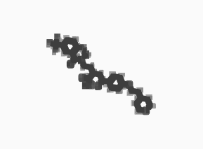 O=C(CC(CCn1nnc2ccc(C(F)(F)F)cc2c1=O)C(=O)O)c1ccc(OCCC2CCOCC2)cc1